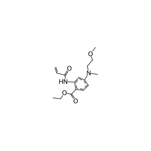 C=CC(=O)Nc1cc(N(C)CCOC)ccc1C(=O)OCC